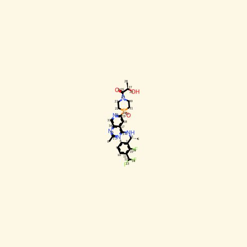 Cc1nc(N[C@H](C)c2cccc(C(F)F)c2F)c2cc(P3(=O)CCN(C(=O)[C@@H](C)O)CC3)ncc2n1